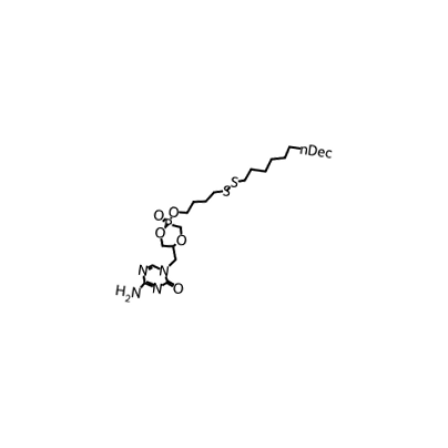 CCCCCCCCCCCCCCCCSSCCCCOP1(=O)COC(Cn2cnc(N)nc2=O)CO1